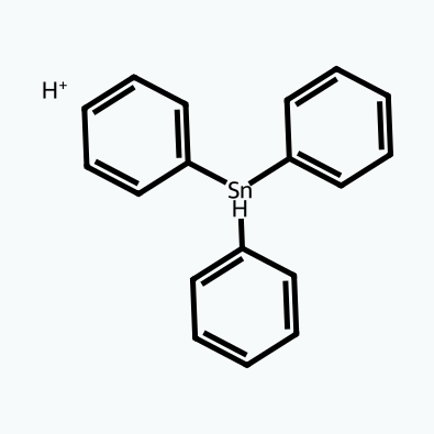 [H+].c1cc[c]([SnH]([c]2ccccc2)[c]2ccccc2)cc1